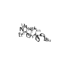 CCc1ncnc(NC2CCC(C(=O)OC(C)(C)C)CC2)c1Cl